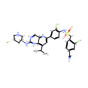 CC(C)c1cc(-c2ccc(NS(=O)(=O)Cc3ccc(C#N)cc3F)c(F)c2)nc2cnc(N[C@@H]3CNC[C@@H](F)C3)nc12